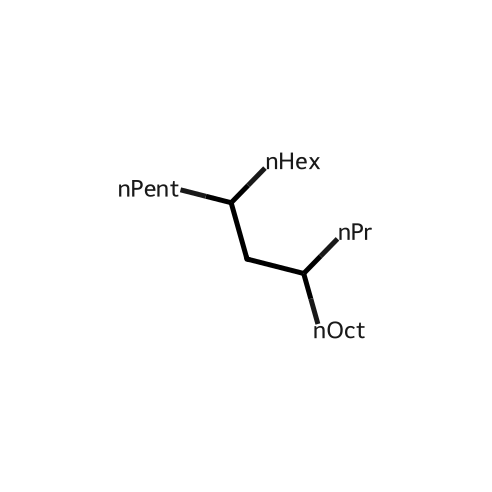 CCCCCCCCC(CCC)CC(CCCCC)CCCCCC